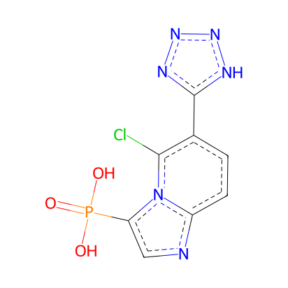 O=P(O)(O)c1cnc2ccc(-c3nnn[nH]3)c(Cl)n12